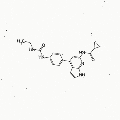 CCNC(=O)Nc1ccc(-c2cc(NC(=O)C3CC3)nc3[nH]ccc23)cc1